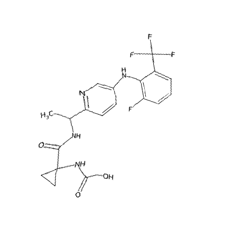 CC(NC(=O)C1(NC(=O)O)CC1)c1ccc(Nc2c(F)cccc2C(F)(F)F)cn1